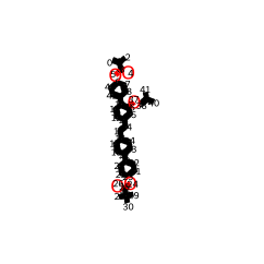 C=C(C)C(=O)Oc1ccc(-c2ccc(/C=C/c3ccc(-c4ccc(OC(=O)C(C)(C)C)cc4)cc3)cc2OC=C(C)C)cc1